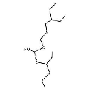 CCCC(CC)SC(O)OCSCC(CC)CC